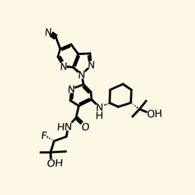 CC(C)(O)[C@H]1CCC[C@@H](Nc2cc(-n3ncc4cc(C#N)cnc43)ncc2C(=O)NC[C@@H](F)C(C)(C)O)C1